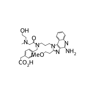 COCCc1nc2c(N)nc3ccccc3c2n1CCCN(Cc1ccc(CC(=O)O)cc1)C(=O)CN(C)CCO